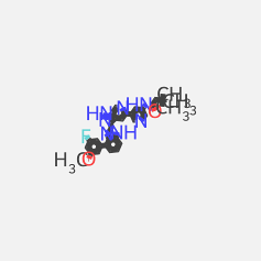 COc1cc(F)cc(-c2cccc3[nH]c(-c4n[nH]c5cnc(-c6cncc(NC(=O)CC(C)(C)C)c6)cc45)nc23)c1